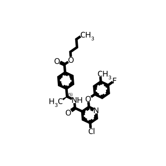 CCCCOC(=O)c1ccc([C@H](C)NC(=O)c2cc(Cl)cnc2Oc2ccc(F)c(C)c2)cc1